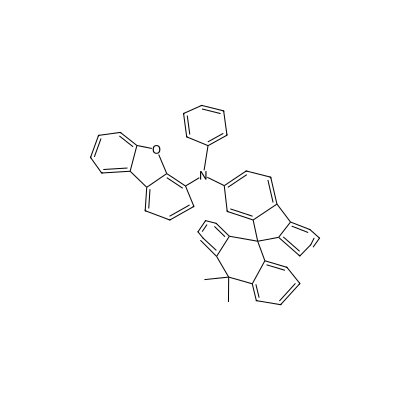 CC1(C)c2ccccc2C2(c3ccccc3-c3ccc(N(c4ccccc4)c4cccc5c4oc4ccccc45)cc32)c2ccccc21